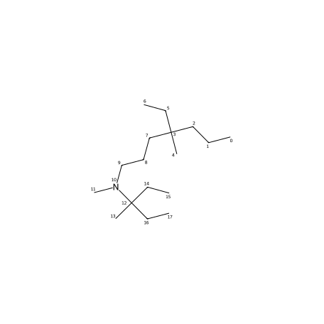 CCCC(C)(CC)CCCN(C)C(C)(CC)CC